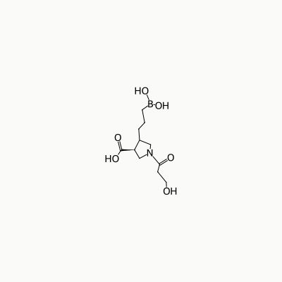 O=C(O)[C@@H]1CN(C(=O)CCO)CC1CCCB(O)O